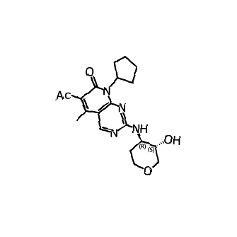 CC(=O)c1c(C)c2cnc(N[C@@H]3CCOC[C@H]3O)nc2n(C2CCCC2)c1=O